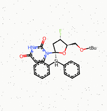 CC(C)(C)OC[C@H]1O[C@](n2ccc(=O)[nH]c2=O)([SiH](c2ccccc2)c2ccccc2)C[C@@H]1F